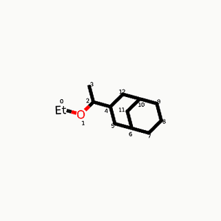 CCOC(C)C1CC2CCCC(C2)C1